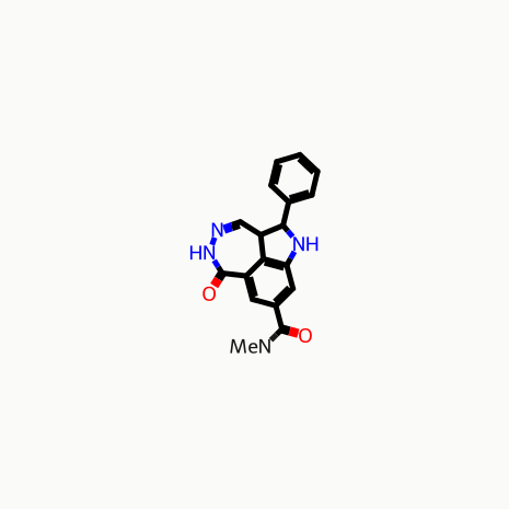 CNC(=O)c1cc2c3c(c1)C(=O)NN=CC3C(c1ccccc1)N2